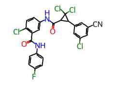 N#Cc1cc(Cl)cc(C2C(C(=O)Nc3ccc(Cl)c(C(=O)Nc4ccc(F)cc4)c3)C2(Cl)Cl)c1